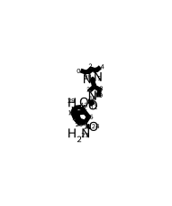 Cc1cc(C)nc(C2CCN(C(=O)OC3C4CC5C[C@H]3C[C@@](C(N)=O)(C5)C4)C2)n1